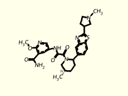 COc1ncc(NC(=O)C(=O)N2C[C@@H](C)CCC2c2ccc3sc(C4CCN(C)C4)nc3c2)cc1C(N)=O